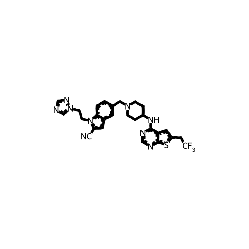 N#Cc1cc2cc(CN3CCC(Nc4ncnc5sc(CC(F)(F)F)cc45)CC3)ccc2n1CCn1cncn1